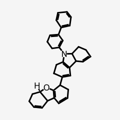 C1=CC2C3=C(CCC(C4CC=CC5=C4O[C@H]4CCC=CC54)=C3)N(C3=CC(c4ccccc4)=CCC3)C2CC1